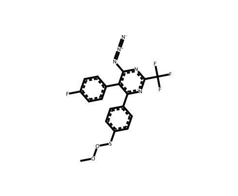 COOSc1ccc(-c2nc(C(F)(F)F)nc(N=[N+]=[N-])c2-c2ccc(F)cc2)cc1